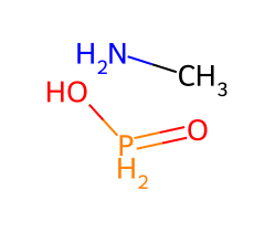 CN.O=[PH2]O